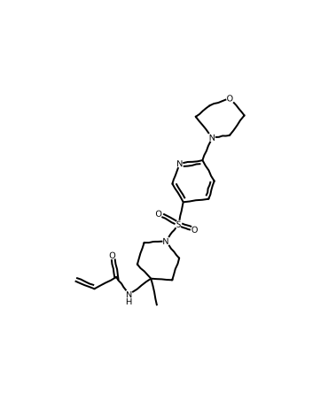 C=CC(=O)NC1(C)CCN(S(=O)(=O)c2ccc(N3CCOCC3)nc2)CC1